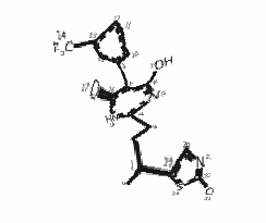 CC(CCc1nc(O)c(-c2cccc(C(F)(F)F)c2)c(=O)[nH]1)c1cnc(Cl)s1